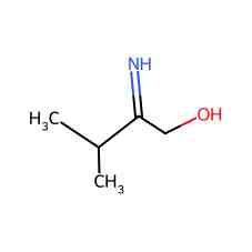 CC(C)C(=N)CO